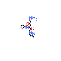 C=C1C=CN(CC(=O)C(CCCCN)NC(=O)C2CCCC2)C=N1